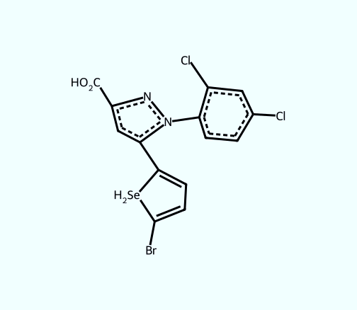 O=C(O)c1cc(C2=CC=C(Br)[SeH2]2)n(-c2ccc(Cl)cc2Cl)n1